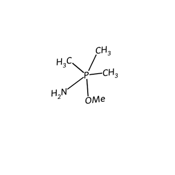 COP(C)(C)(C)N